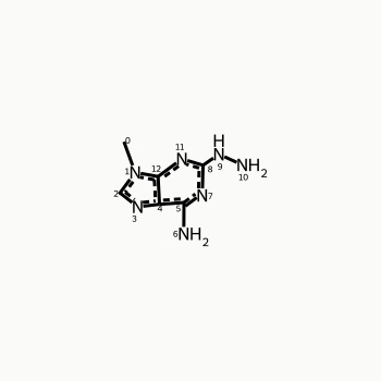 Cn1cnc2c(N)nc(NN)nc21